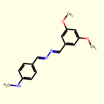 CNc1ccc(/C=N/N=C/c2cc(OC)cc(OC)c2)cc1